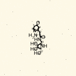 N[C@H](CC1=CC(=O)CC=N1)C(=O)NC[C@H]1N[C@H](CO)[C@@H](O)[C@@H]1O